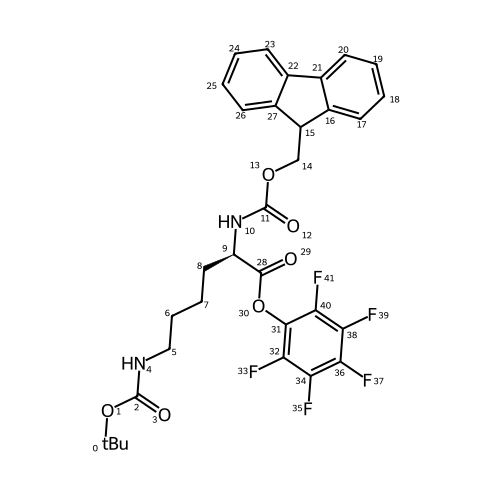 CC(C)(C)OC(=O)NCCCC[C@@H](NC(=O)OCC1c2ccccc2-c2ccccc21)C(=O)Oc1c(F)c(F)c(F)c(F)c1F